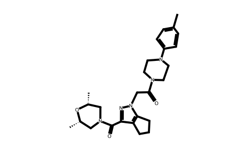 Cc1ccc(N2CCN(C(=O)Cn3nc(C(=O)N4C[C@@H](C)O[C@@H](C)C4)c4c3CCC4)CC2)cc1